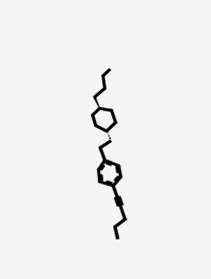 CCCC#Cc1ccc(CC[C@H]2CC[C@H](CCCC)CC2)cc1